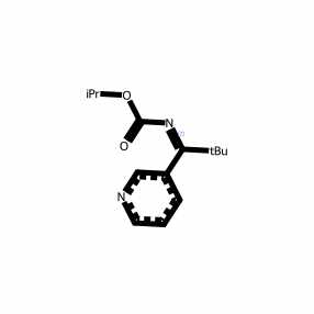 CC(C)OC(=O)/N=C(\c1cccnc1)C(C)(C)C